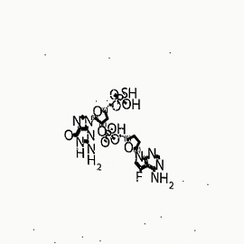 Nc1nc2c(ncn2[C@@H]2O[C@H](COP(=O)(O)S)C[C@H]2OP(=O)(O)OC[C@@H]2CC[C@H](n3cc(F)c4c(N)ncnc43)O2)c(=O)[nH]1